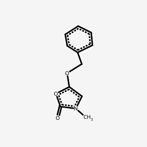 Cn1cc(OCc2ccccc2)oc1=O